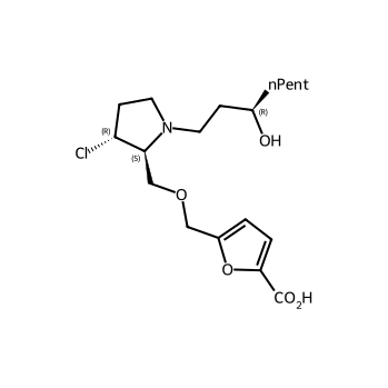 CCCCC[C@@H](O)CCN1CC[C@@H](Cl)[C@@H]1COCc1ccc(C(=O)O)o1